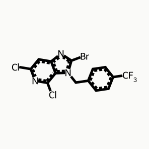 FC(F)(F)c1ccc(Cn2c(Br)nc3cc(Cl)nc(Cl)c32)cc1